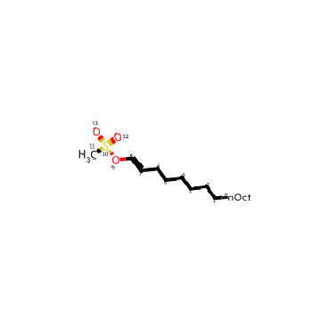 CCCCCCCCCCCCCCC=COS(C)(=O)=O